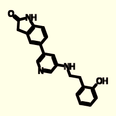 O=C1Cc2cc(-c3cncc(NCCc4ccccc4O)c3)ccc2N1